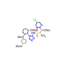 COc1cccc(OC)c1-n1c(NS(=O)(=O)[C@@H](C)[C@H](OC)c2ncc(Cl)cn2)nnc1[C@H]1CC[C@@H](OC)C1